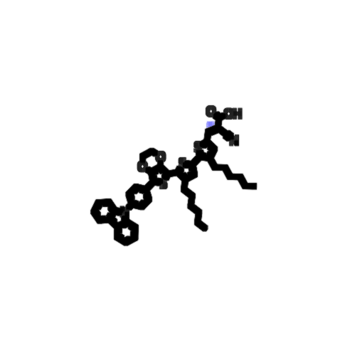 CCCCCCc1cc(/C=C(\C#N)C(=O)O)sc1-c1cc(CCCCCC)c(-c2sc(-c3ccc(-n4c5ccccc5c5ccccc54)cc3)c3c2OCCO3)s1